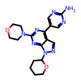 Nc1ncc(-c2nc(N3CCOCC3)nc3c2cnn3C2CCCCO2)cn1